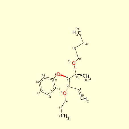 C=C[C@H](OCCC)[C@@H](Oc1ccccc1)[C@H](C)OCCCC